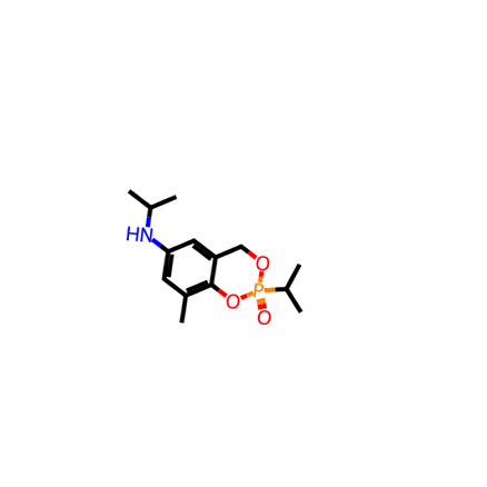 Cc1cc(NC(C)C)cc2c1OP(=O)(C(C)C)OC2